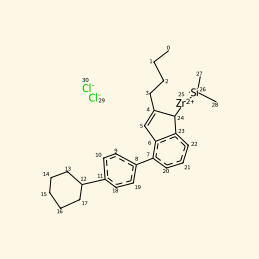 CCCCC1=Cc2c(-c3ccc(C4CCCCC4)cc3)cccc2[CH]1[Zr+2][Si](C)C.[Cl-].[Cl-]